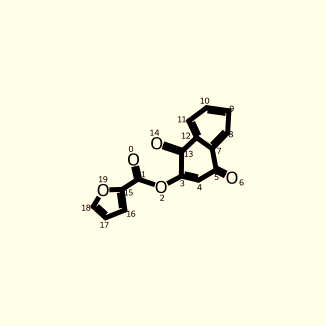 O=C(OC1=CC(=O)c2ccccc2C1=O)c1ccco1